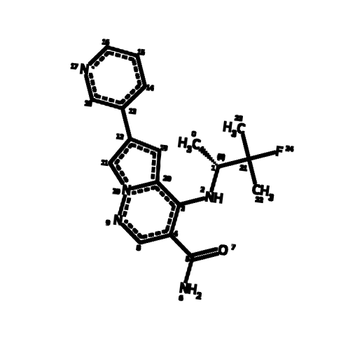 C[C@@H](Nc1c(C(N)=O)cnn2cc(-c3cccnc3)cc12)C(C)(C)F